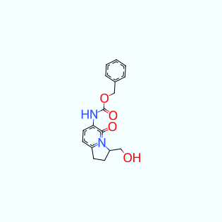 O=C(Nc1ccc2n(c1=O)C(CO)CC2)OCc1ccccc1